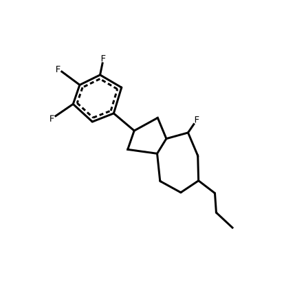 CCCC1CCC2CC(c3cc(F)c(F)c(F)c3)CC2C(F)C1